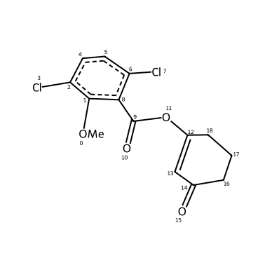 COc1c(Cl)ccc(Cl)c1C(=O)OC1=CC(=O)CCC1